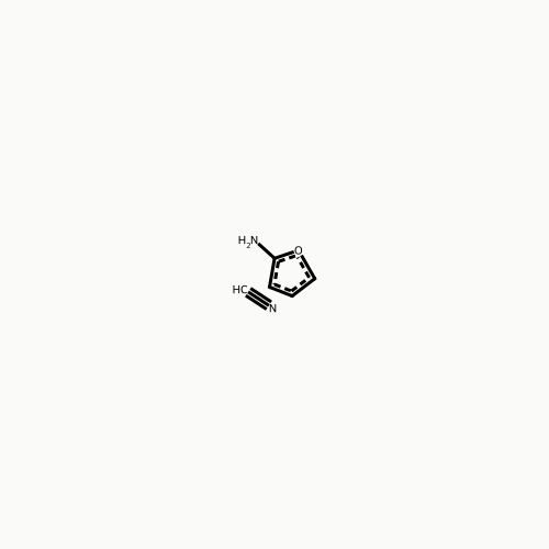 C#N.Nc1ccco1